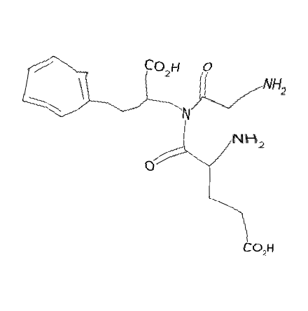 NCC(=O)N(C(=O)C(N)CCC(=O)O)C(Cc1ccccc1)C(=O)O